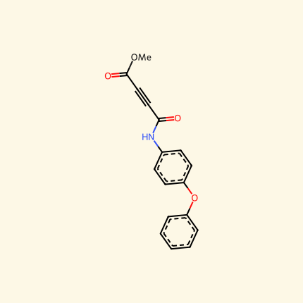 COC(=O)C#CC(=O)Nc1ccc(Oc2ccccc2)cc1